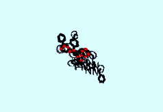 COc1ccc(C(OC[C@@]23CO[C@@H]([C@H](n4cnc5c(NC(=O)c6ccccc6)ncnc54)O2)[C@@H]3OP(SCCSC(=O)c2ccccc2)N2CCCC2)(c2ccccc2)c2ccc(OC)cc2)cc1